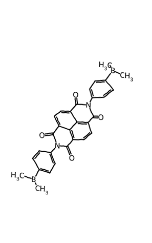 CB(C)c1ccc(N2C(=O)c3ccc4c5c(ccc(c35)C2=O)C(=O)N(c2ccc(B(C)C)cc2)C4=O)cc1